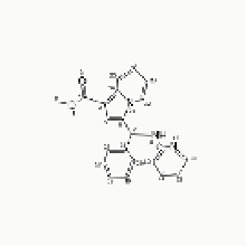 COC(=O)c1cc(C(Nc2ccccn2)c2ccccc2)n2ccccc12